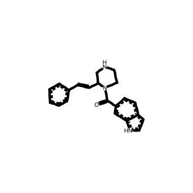 O=C(c1ccc2cc[nH]c2c1)N1CCNCC1C=Cc1ccccc1